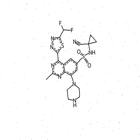 Cc1nc(-c2nnc(C(F)F)s2)c2cc(S(=O)(=O)NC3(C#N)CC3)cc(N3CCNCC3)c2n1